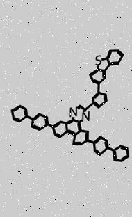 c1ccc(-c2ccc(-c3ccc4c5ccc(-c6ccc(-c7ccccc7)cc6)cc5c5nc(-c6cccc(-c7ccc8sc9ccccc9c8c7)c6)cnc5c4c3)cc2)cc1